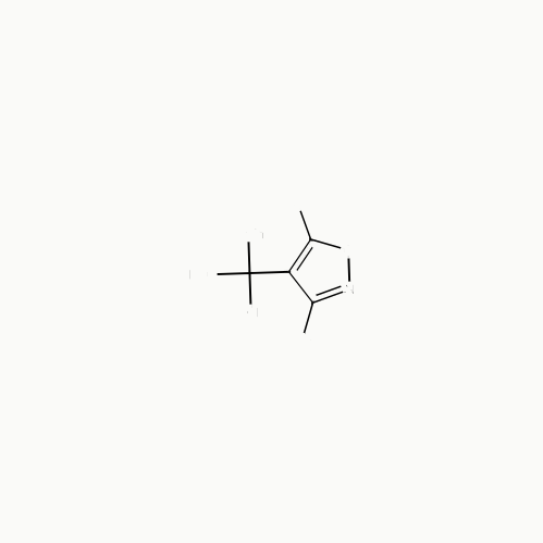 CCCC(C)(C)c1c(C(C)(C)C)noc1C